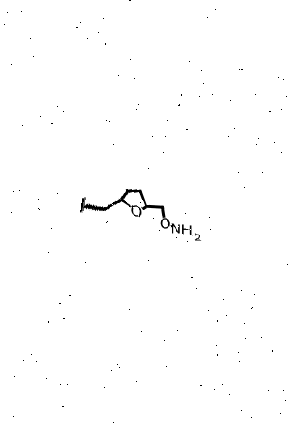 NOCC1CCC(CI)O1